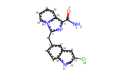 NC(=O)c1nc(Cc2ccc3ncc(Cl)cc3c2)n2ccccc12